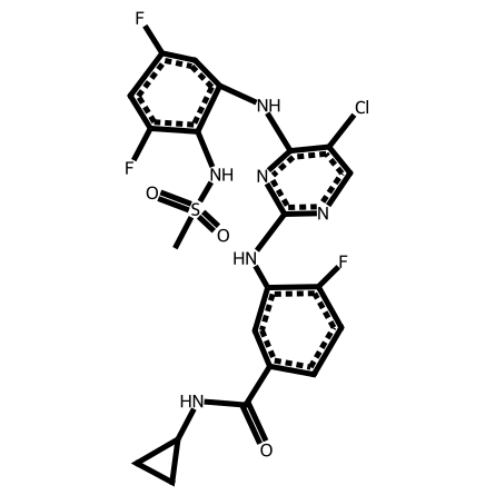 CS(=O)(=O)Nc1c(F)cc(F)cc1Nc1nc(Nc2cc(C(=O)NC3CC3)ccc2F)ncc1Cl